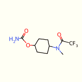 CN(C(=O)C(F)(F)F)C1CCC(OC(N)=O)CC1